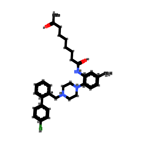 COC(=O)CCCCCCC(=O)Nc1cc(C(=O)O)ccc1N1CCN(Cc2ccccc2-c2ccc(Cl)cc2)CC1